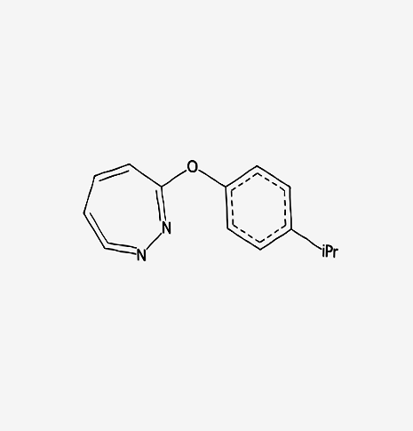 CC(C)c1ccc(OC2=NN=C=CC=C2)cc1